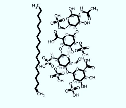 C=CCCCCCCCCCCCCCCCC.CC(=O)N[C@@H]1[C@@H](O)[C@H](O[C@@H]2O[C@H](C(=O)O)[C@@H](O[C@@H]3O[C@H](CO)[C@@H](O[C@H]4O[C@@H](C(=O)O)[C@H](O)[C@@H](O)[C@@H]4OS(=O)(=O)O)[C@H](OS(=O)(=O)O)[C@H]3NS(=O)(=O)O)[C@H](O)[C@H]2OS(=O)(=O)O)[C@H](COS(=O)(=O)O)O[C@H]1O